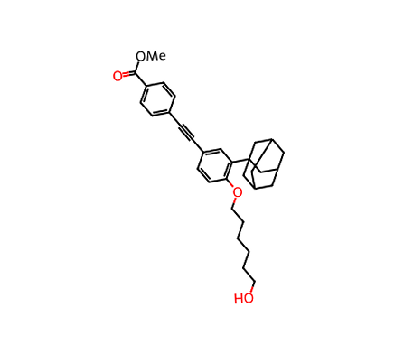 COC(=O)c1ccc(C#Cc2ccc(OCCCCCCO)c(C34CC5CC(CC(C5)C3)C4)c2)cc1